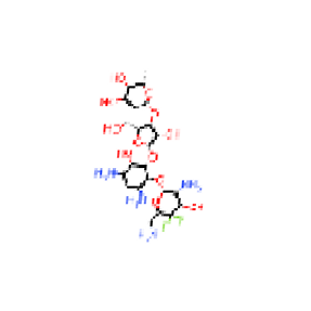 C[C@@H]1O[C@H](O[C@H]2[C@@H](O)[C@H](O[C@@H]3[C@@H](O)[C@H](N)C[C@H](N)[C@H]3O[C@H]3O[C@H](CN)C(F)(F)[C@H](O)[C@H]3N)O[C@@H]2CO)C[C@@H](O)[C@@H]1O